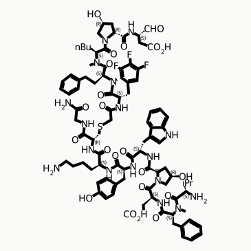 CCCC[C@@H](C(=O)N1C[C@H](O)C[C@@H]1C(=O)N[C@H](C=O)CC(=O)O)N(C)C(=O)[C@H](CCc1ccccc1)N(C)C(=O)[C@H](Cc1cc(F)c(F)c(F)c1)NC(=O)CSC[C@H](NC(=O)[C@H](CCCCN)NC(=O)[C@H](Cc1ccc(O)cc1)NC(=O)[C@H](Cc1c[nH]c2ccccc12)NC(=O)[C@H]1C[C@@H](O)CN1C(=O)[C@H](CC(=O)O)NC(=O)[C@H](Cc1ccccc1)N(C)C(=O)[C@@H](N)C(C)C)C(=O)NCC(N)=O